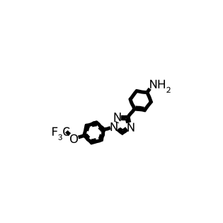 NC1CC=C(c2ncn(-c3ccc(OC(F)(F)F)cc3)n2)CC1